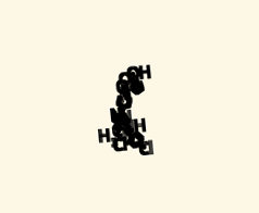 C[C@@H](Nc1nc(C2CCN(C(=O)[C@H]3CCCN3C(=O)O)CC2)ncc1Cl)c1ccc(Cl)cc1Cl